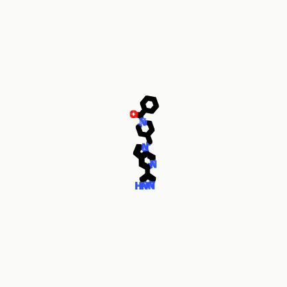 O=C(C1CCCCC1)N1CCC(Cn2ccc3cc(-c4cn[nH]c4)ncc32)CC1